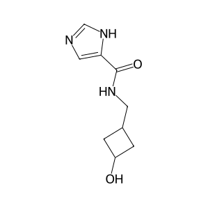 O=C(NCC1CC(O)C1)c1cnc[nH]1